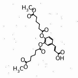 COC(=O)CCCCC(=O)Oc1ccc(/C=C/C(=O)O)cc1OC(=O)CCCCC(=O)OC